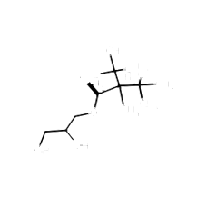 CC(C)(C)C(C)(C(=O)OCC(O)CO)C(C)(C)C